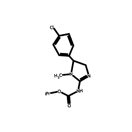 CC(C)OC(=O)NC1=NCC(c2ccc(Cl)cc2)N1C